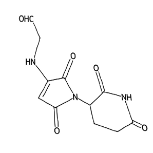 O=CCNC1=CC(=O)N(C2CCC(=O)NC2=O)C1=O